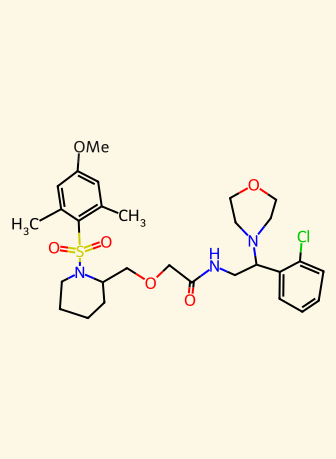 COc1cc(C)c(S(=O)(=O)N2CCCCC2COCC(=O)NCC(c2ccccc2Cl)N2CCOCC2)c(C)c1